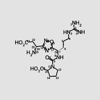 N=C(N)NCCC[C@H](NC(=O)N1CCCC1C(=O)O)c1nc([C@@H](N)CC(=O)O)no1